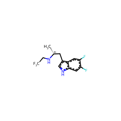 C[C@H](Cc1c[nH]c2cc(F)c(F)cc12)NCC(F)(F)F